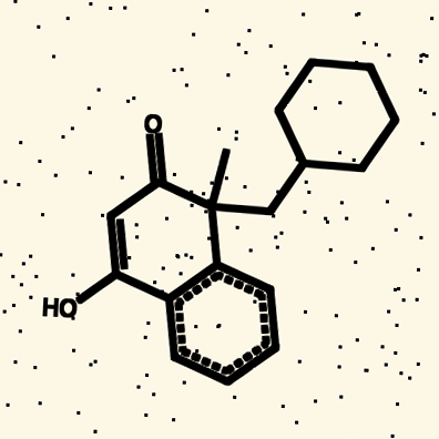 CC1(CC2CCCCC2)C(=O)C=C(O)c2ccccc21